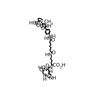 C[C@@H](NC(=O)c1ccc(NNC(=O)CCCCCC(=O)NCCCC[C@H](NC(=O)C2CC3CNC=[N+]3NCC(=O)N2O)C(=O)O)cc1)C(=O)N1CCC[C@H]1B(O)O